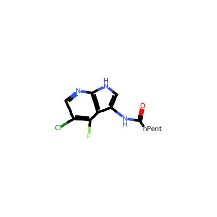 CCCCCC(=O)Nc1c[nH]c2ncc(Cl)c(F)c12